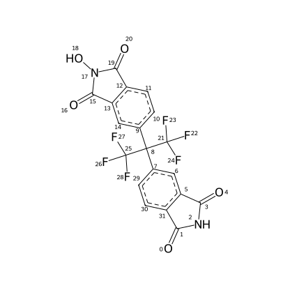 O=C1NC(=O)c2cc(C(c3ccc4c(c3)C(=O)N(O)C4=O)(C(F)(F)F)C(F)(F)F)ccc21